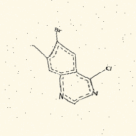 Cc1cc2ncnc(Cl)c2cc1Br